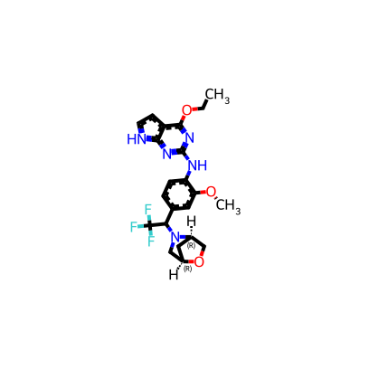 CCOc1nc(Nc2ccc(C(N3C[C@H]4C[C@@H]3CO4)C(F)(F)F)cc2OC)nc2[nH]ccc12